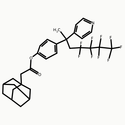 CC(CC(F)(F)C(F)(F)C(F)(F)C(F)(F)F)(c1ccncc1)c1ccc(OC(=O)CC23CC4CC(CC(C4)C2)C3)cc1